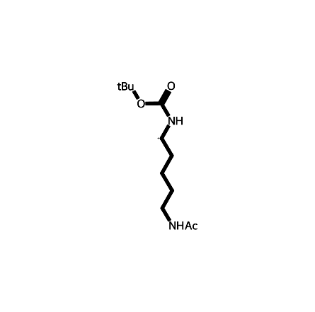 CC(=O)NCCCC[CH]NC(=O)OC(C)(C)C